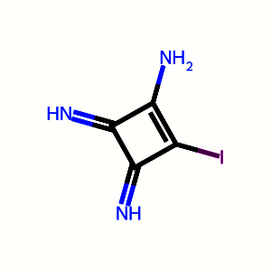 N=c1c(N)c(I)c1=N